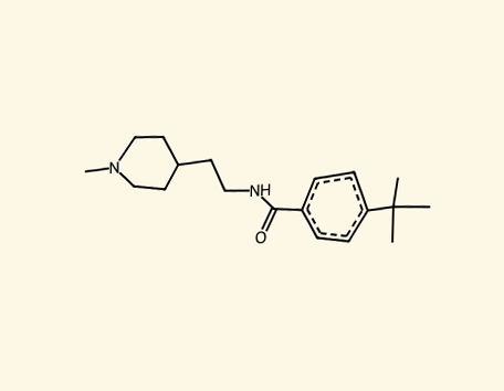 CN1CCC(CCNC(=O)c2ccc(C(C)(C)C)cc2)CC1